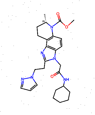 COC(=O)N1c2ccc3c(nc(CCn4cccn4)n3CC(=O)NC3CCCCC3)c2CC[C@@H]1C